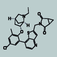 CCN1C[C@H]2C[C@@H]1[C@H](Oc1c(C)cc(Cl)cc1-c1ccnc3cc(CN4C(=O)C5CC5C4=O)sc13)C2